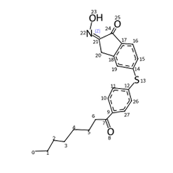 CCCCCCCC(=O)c1ccc(Sc2ccc3c(c2)C/C(=N/O)C3=O)cc1